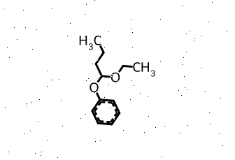 CCCC(OCC)Oc1ccccc1